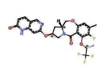 Cc1cc2c(c(O[C@H](C)C(F)(F)F)c1F)C(=O)N1C[C@@H](Oc3cc4[nH]c(=O)ccc4cn3)C[C@@H]1CO2